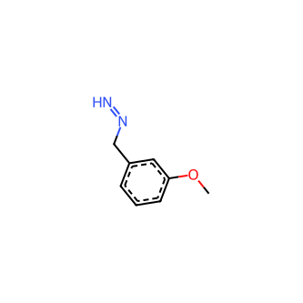 COc1cccc(CN=N)c1